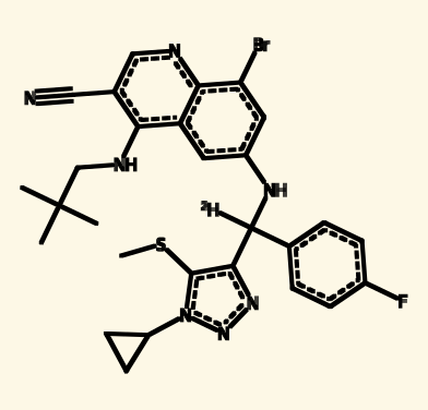 [2H]C(Nc1cc(Br)c2ncc(C#N)c(NCC(C)(C)C)c2c1)(c1ccc(F)cc1)c1nnn(C2CC2)c1SC